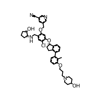 Cc1c(OCCCN2CCC(O)CC2)cccc1-c1cccc2c1CC[C@@H]2Oc1cc(OCc2cncc(C#N)c2)c(CN[C@@H]2CCC[C@H]2O)cc1Cl